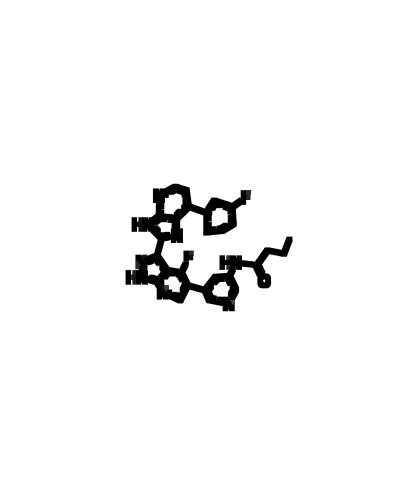 CCCC(=O)Nc1cncc(-c2cnc3[nH]nc(-c4nc5c(-c6cccc(F)c6)ccnc5[nH]4)c3c2F)c1